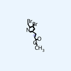 CCOC(=O)/C=C/c1cnc(CBr)c(Br)c1